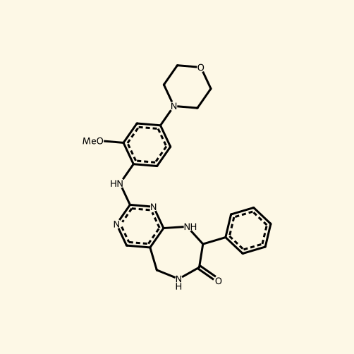 COc1cc(N2CCOCC2)ccc1Nc1ncc2c(n1)NC(c1ccccc1)C(=O)NC2